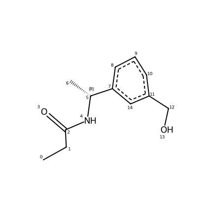 CCC(=O)N[C@H](C)c1cccc(CO)c1